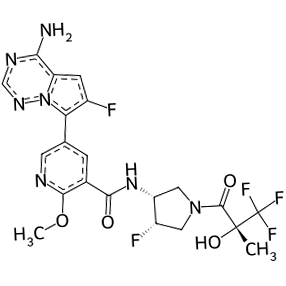 COc1ncc(-c2c(F)cc3c(N)ncnn23)cc1C(=O)N[C@@H]1CN(C(=O)[C@@](C)(O)C(F)(F)F)C[C@@H]1F